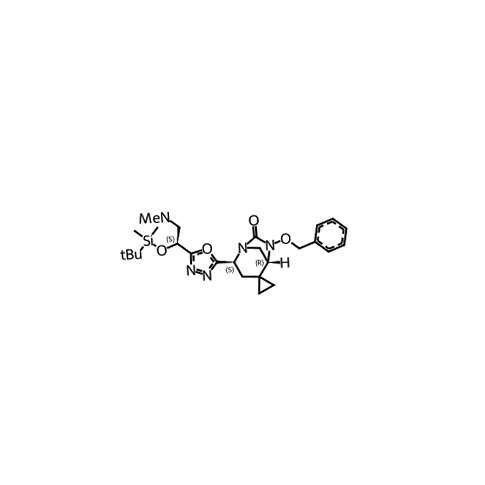 CNC[C@H](O[Si](C)(C)C(C)(C)C)c1nnc([C@@H]2CC3(CC3)[C@@H]3CN2C(=O)N3OCc2ccccc2)o1